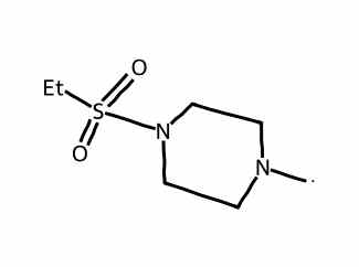 [CH2]N1CCN(S(=O)(=O)CC)CC1